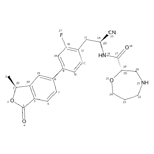 C[C@@H]1OC(=O)c2ccc(-c3ccc(C[C@@H](C#N)NC(=O)[C@@H]4CNCCCO4)c(F)c3)cc21